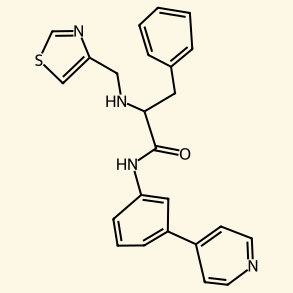 O=C(Nc1cccc(-c2ccncc2)c1)C(Cc1ccccc1)NCc1cscn1